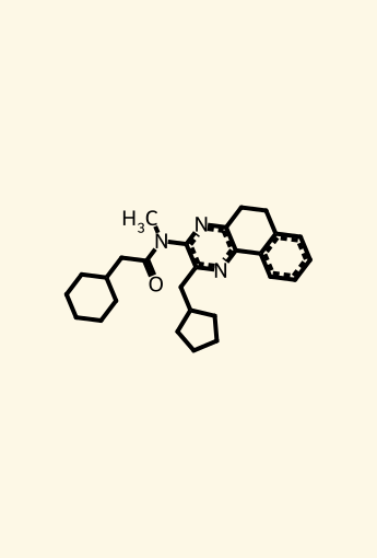 CN(C(=O)CC1CCCCC1)c1nc2c(nc1CC1CCCC1)-c1ccccc1CC2